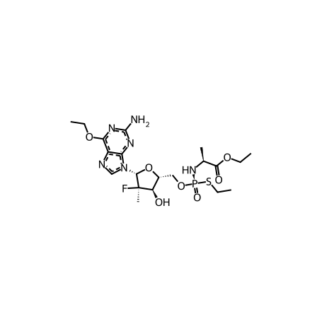 CCOC(=O)[C@H](C)N[P@@](=O)(OC[C@H]1O[C@@H](n2cnc3c(OCC)nc(N)nc32)[C@](C)(F)[C@@H]1O)SCC